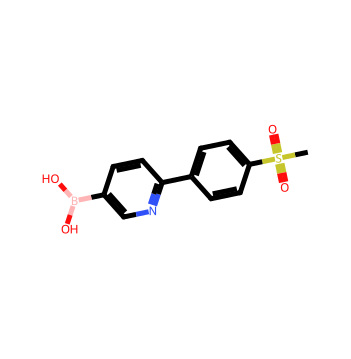 CS(=O)(=O)c1ccc(-c2ccc(B(O)O)cn2)cc1